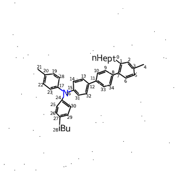 CCCCCCCc1cc(C)ccc1-c1ccc(-c2ccc(N(c3ccc(C)cc3)c3ccc(C(C)CC)cc3)cc2)cc1